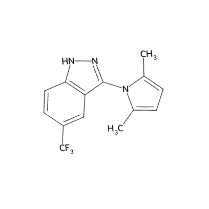 Cc1ccc(C)n1-c1n[nH]c2ccc(C(F)(F)F)cc12